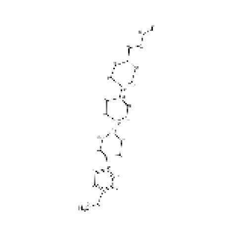 CCc1ccc(C2CCC([C@H]3CC[C@H]([C@H]4CC[C@H](CCCF)CC4)CC3)CC2)cc1